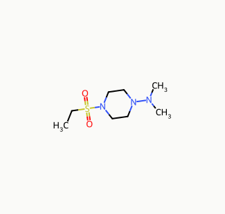 CCS(=O)(=O)N1CCN(N(C)C)CC1